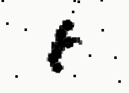 NC1CCN(C(=O)[C@@H](NS(=O)(=O)c2ccc3cc(OC4CCCC4)ccc3c2)C(F)(F)c2ccc(Oc3ccccc3)cc2)CC1